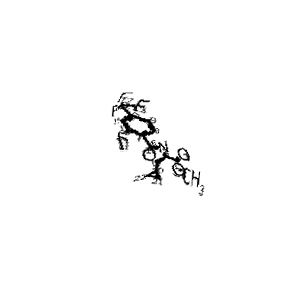 COC(=O)c1nc(-c2ccc(C(F)(F)F)cc2F)oc1C1CC1